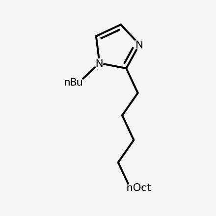 CCCCCCCCCCCCc1nccn1CCCC